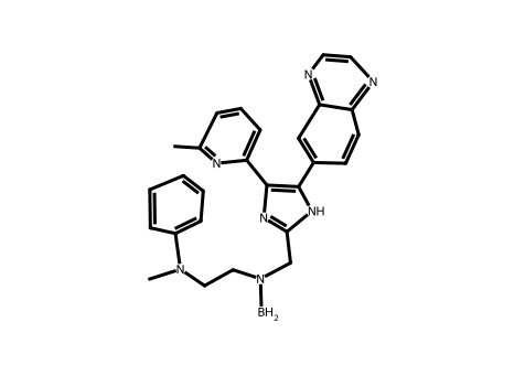 BN(CCN(C)c1ccccc1)Cc1nc(-c2cccc(C)n2)c(-c2ccc3nccnc3c2)[nH]1